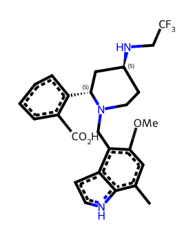 COc1cc(C)c2[nH]ccc2c1CN1CC[C@H](NCC(F)(F)F)C[C@H]1c1ccccc1C(=O)O